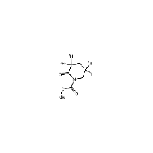 [2H]C1([2H])CN(C(=O)OC(C)(C)C)C(=O)C([2H])([2H])C1